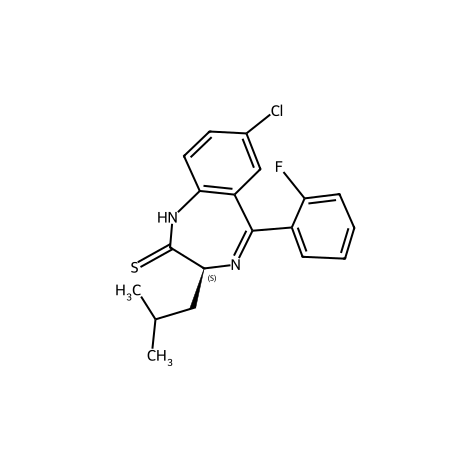 CC(C)C[C@@H]1N=C(c2ccccc2F)c2cc(Cl)ccc2NC1=S